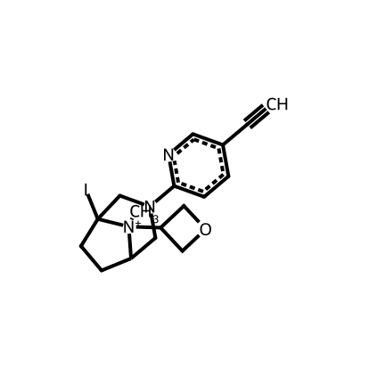 C#Cc1ccc(N2CC3CCC(I)(C2)[N+]3(C)C2COC2)nc1